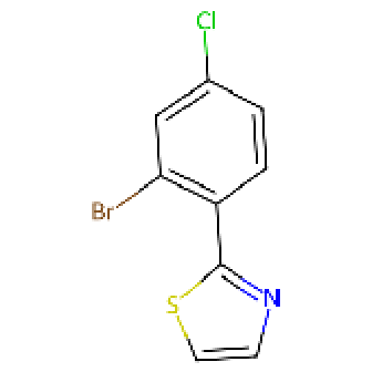 Clc1ccc(-c2nccs2)c(Br)c1